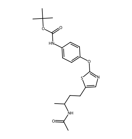 CC(=O)NC(C)CCc1cnc(Oc2ccc(NC(=O)OC(C)(C)C)cc2)s1